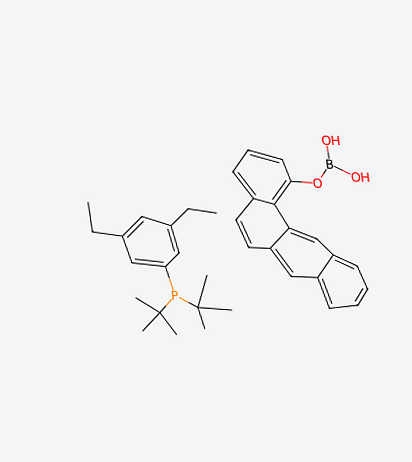 CCc1cc(CC)cc(P(C(C)(C)C)C(C)(C)C)c1.OB(O)Oc1cccc2ccc3cc4ccccc4cc3c12